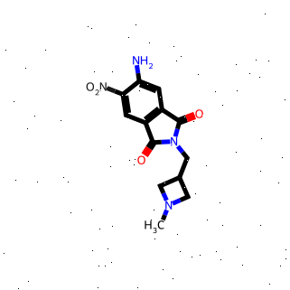 CN1CC(CN2C(=O)c3cc(N)c([N+](=O)[O-])cc3C2=O)C1